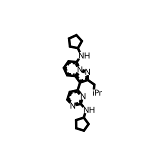 CC(C)Cc1nn2c(NC3CCCC3)cccc2c1-c1ccnc(NC2CCCC2)n1